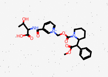 COC(=O)C(c1ccccc1)C1CCCCN1C(=O)OC[n+]1cccc(C(=O)NC(C(=O)O)C(C)O)c1